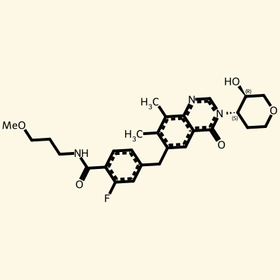 COCCCNC(=O)c1ccc(Cc2cc3c(=O)n([C@H]4CCOC[C@@H]4O)cnc3c(C)c2C)cc1F